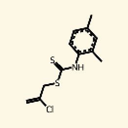 C=C(Cl)CSC(=S)Nc1ccc(C)cc1C